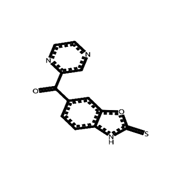 O=C(c1ccc2[nH]c(=S)oc2c1)c1cnccn1